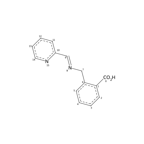 O=C(O)c1ccccc1C/N=C/c1ccccn1